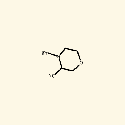 CC(C)N1CCOCC1C#N